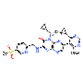 CCS(=O)(=O)c1ccc(CNc2nc3ncc(-c4c(OC)ncnc4C4CC4)nc3n([C@@H](C)C3CC3)c2=O)nc1